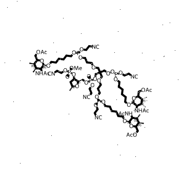 [C-]#[N+]CCOP(OCCCCCCO[C@@H]1OC(COC(C)=O)[C@H](C)[C@H](C)C1NC(C)=O)OCCCOCC(COCCCOP(OCCCCCCO[C@@H]1OC(COC(C)=O)[C@H](C)[C@H](C)C1NC(C)=O)OCC[N+]#[C-])(COOP(OCCCCCCO[C@@H]1OC(COC(C)=O)[C@H](C)[C@H](C)C1NC(C)=O)OCC[N+]#[C-])COP(=O)(OCCC#N)OC[C@H]1O[C@@H](C)CC1OP(=O)(OC)OCC[N+]#[C-]